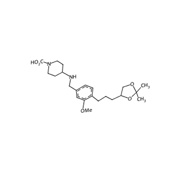 COc1cc(CNC2CCN(C(=O)O)CC2)ccc1CCCC1COC(C)(C)O1